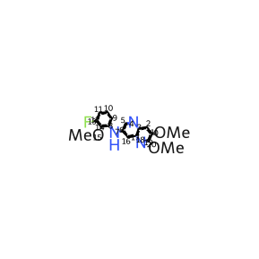 COc1cc2ncc(Nc3cccc(F)c3OC)cc2nc1OC